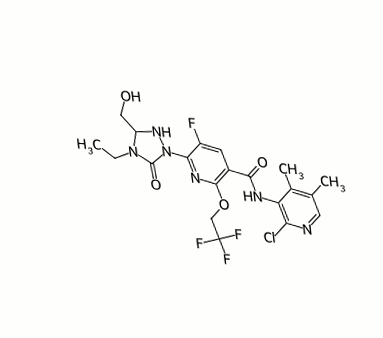 CCN1C(=O)N(c2nc(OCC(F)(F)F)c(C(=O)Nc3c(Cl)ncc(C)c3C)cc2F)NC1CO